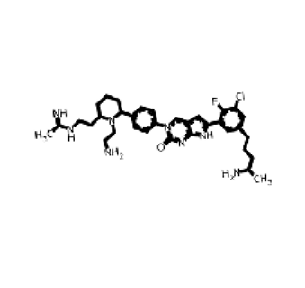 CC(=N)NCCC1CCCC(c2ccc(-n3cc4cc(-c5cc(CCCC(C)N)cc(Cl)c5F)[nH]c4nc3=O)cc2)N1CCN